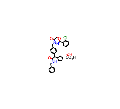 O=C(NCc1ccccc1)C(c1ccc(CN2N=C(c3ccccc3Cl)OCC2=O)cc1)C1CCCC1.O=C(O)O